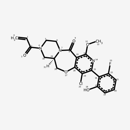 C=CC(=O)N1CCN2C(=O)c3c(OC)nc(-c4c(O)cccc4F)c(Cl)c3OC[C@H]2C1